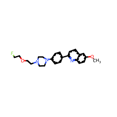 COc1ccc2nc(-c3ccc(N4CCN(CCOCCF)CC4)cc3)ccc2c1